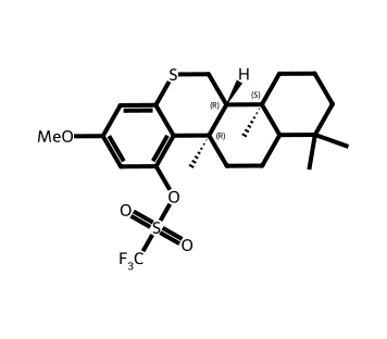 COc1cc(OS(=O)(=O)C(F)(F)F)c2c(c1)SC[C@H]1[C@@]2(C)CCC2C(C)(C)CCC[C@@]21C